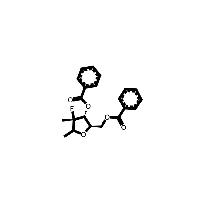 CC1O[C@H](COC(=O)c2ccccc2)[C@@H](OC(=O)c2ccccc2)[C@@]1(C)F